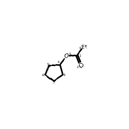 [CH2]CC(=O)OC1CCCC1